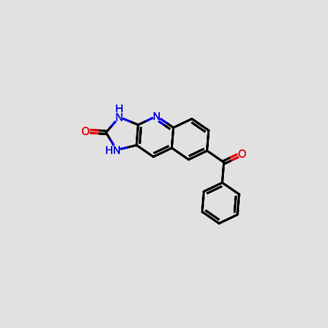 O=C(c1ccccc1)c1ccc2nc3[nH]c(=O)[nH]c3cc2c1